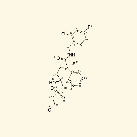 O=C(NCc1ccc(F)cc1Cl)[C@]1(F)CC[C@@](O)(CS(=O)(=O)CCO)c2ncccc21